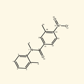 Cc1ccccc1N(C)C(=O)c1ccc([N+](=O)[O-])c(C)c1